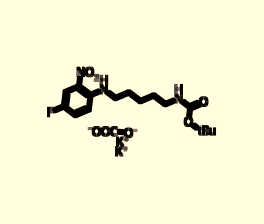 CC(C)(C)OC(=O)NCCCCCNc1ccc(F)cc1[N+](=O)[O-].O=C([O-])[O-].[K+].[K+]